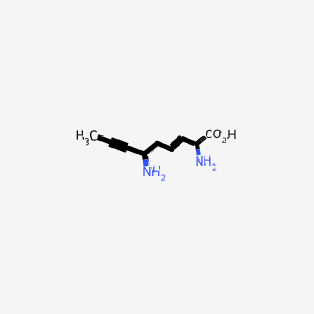 CC#CC(N)CC=CC(N)C(=O)O